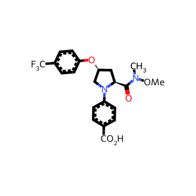 CON(C)C(=O)[C@@H]1C[C@@H](Oc2ccc(C(F)(F)F)cc2)CN1c1ccc(C(=O)O)cc1